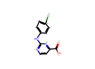 O=C(O)c1ccnc(Nc2ccc(Cl)cc2)n1